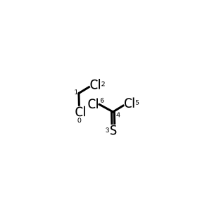 ClCCl.S=C(Cl)Cl